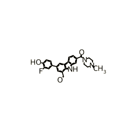 CN1CCN(C(=O)c2ccc3c(c2)[nH]c2c(C=O)cc(-c4ccc(O)c(F)c4)cc23)CC1